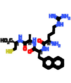 C[C@@H](NC(=O)[C@H](Cc1ccc2ccccc2c1)NC(=O)[C@H](N)CCCNC(=N)N)C(=O)N[C@H](CS)C(=O)O